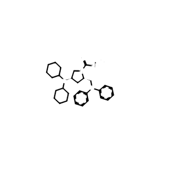 CNC(=O)N1C[C@H](P(C2CCCCC2)C2CCCCC2)C[C@@H]1CP(c1ccccc1)c1ccccc1